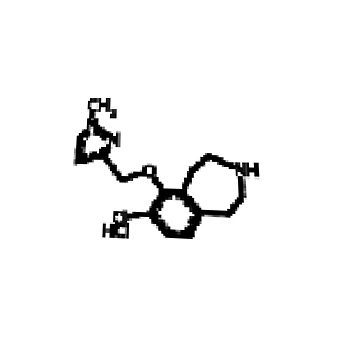 Cl.Cn1ccc(COc2c(Cl)ccc3c2CCNCC3)n1